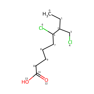 CCC(CCl)C(Cl)CCCCC(=O)O